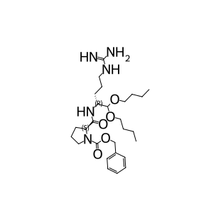 CCCCOC(OCCCC)[C@@H](CCCNC(=N)N)NC(=O)[C@@H]1CCCN1C(=O)OCc1ccccc1